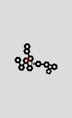 c1ccc(-c2ccccc2-c2ccccc2-c2ccccc2N(c2ccc(-c3ccc4c(c3)C3(CCCC3)c3ccccc3-4)cc2)c2ccc(-c3ccc4ccccc4c3)cc2)cc1